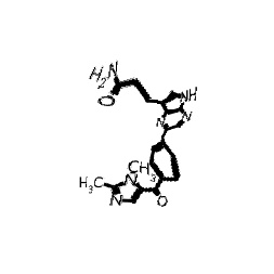 Cc1ncc(C(=O)c2ccc(-c3cnc4[nH]cc(C=CC(N)=O)c4n3)cc2)n1C